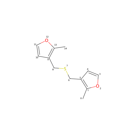 Cc1occc1CSCc1ccoc1C